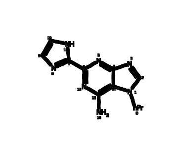 CCCn1cnc2nc(-c3ncc[nH]3)nc(N)c21